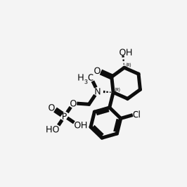 CN(COP(=O)(O)O)[C@@]1(c2ccccc2Cl)CCC[C@@H](O)C1=O